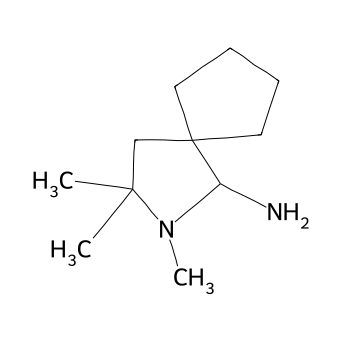 CN1C(N)C2(CCCC2)CC1(C)C